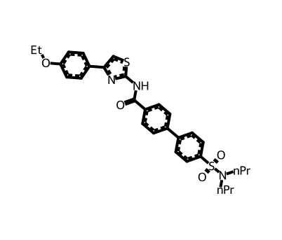 CCCN(CCC)S(=O)(=O)c1ccc(-c2ccc(C(=O)Nc3nc(-c4ccc(OCC)cc4)cs3)cc2)cc1